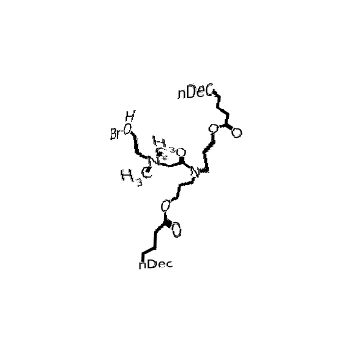 CCCCCCCCCCCCCC(=O)OCCCN(CCCOC(=O)CCCCCCCCCCCCC)C(=O)C[N+](C)(C)CCO.[Br-]